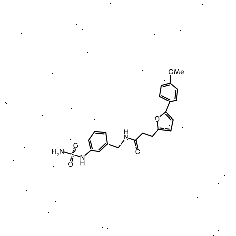 COc1ccc(-c2ccc(CCC(=O)NCc3cccc(NS(N)(=O)=O)c3)o2)cc1